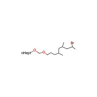 CCCCCCCOCOCCCC(C)CC(C)CC(C)Br